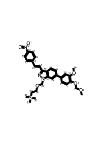 COCOc1ccc(-c2ccc3c(C=Cc4ccc([N+](=O)[O-])cc4)nn(COCC[Si](C)(C)C)c3c2)cc1OC